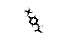 CC(C)Nc1ccc(SC(F)(F)F)cc1